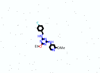 CCOc1nc(NCc2ccc(F)cc2)nc(Nc2ccnc(OC)c2)n1